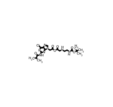 CC(C)C(=O)Nc1nc(Cl)c2ncn(CC(=O)OC(=O)CNCCNC(=O)OC(C)(C)C)c2n1